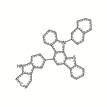 c1ccc2cc(-n3c4ccccc4c4c(-c5ccc6[nH]c7ccccc7c6c5)cc5c6ccccc6sc5c43)ccc2c1